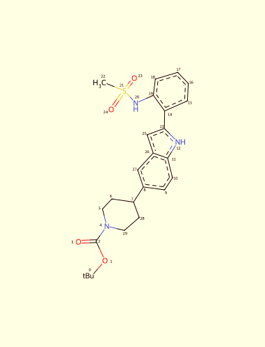 CC(C)(C)OC(=O)N1CCC(c2ccc3[nH]c(-c4ccccc4NS(C)(=O)=O)cc3c2)CC1